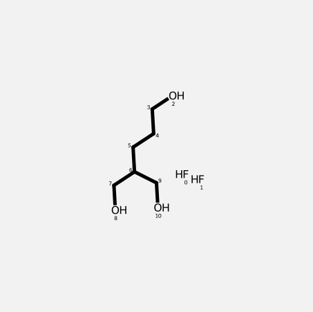 F.F.OCCCC(CO)CO